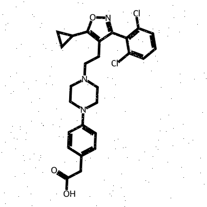 O=C(O)Cc1ccc(N2CCN(CCc3c(-c4c(Cl)cccc4Cl)noc3C3CC3)CC2)cc1